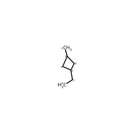 [CH2]CC1CC(C)C1